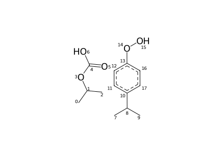 CC(C)OC(=O)O.CC(C)c1ccc(OO)cc1